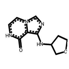 O=c1[nH]ccn2cnc(NC3CCOC3)c12